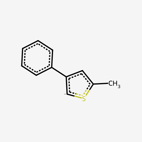 Cc1cc(-c2ccccc2)[c]s1